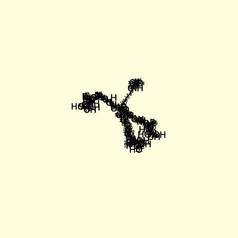 O=C(CCCCCCCCCCC(=O)NC(CCC(=O)NCCOCCOCCn1cc(COc2cc(C(F)(F)F)nc(N[C@H]3CO[C@H](CO)[C@H](O)[C@@H]3O)n2)nn1)(CCC(=O)NCCOCCOCCn1cc(COc2cc(C(F)(F)F)nc(N[C@H]3CO[C@H](CO)[C@H](O)[C@@H]3O)n2)nn1)CCC(=O)NCCOCCOCCn1cc(COc2cc(C(F)(F)F)nc(N[C@H]3CO[C@H](CO)[C@H](O)[C@@H]3O)n2)nn1)NCCN1C(=O)C=CC1=O